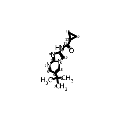 CC(C)(C)c1cnc2nc(NC(=O)C3CC3)cn2c1